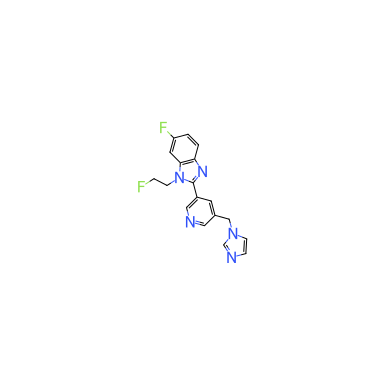 FCCn1c(-c2cncc(Cn3ccnc3)c2)nc2ccc(F)cc21